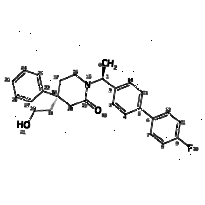 C[C@@H](c1ccc(-c2ccc(F)cc2)cc1)N1CC[C@](CCO)(c2ccccc2)CC1=O